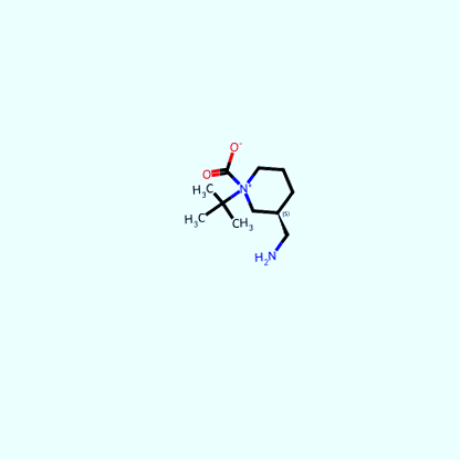 CC(C)(C)[N+]1(C(=O)[O-])CCC[C@@H](CN)C1